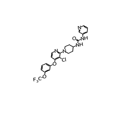 O=C(Nc1cccnc1)NC1CCN(c2nccc(Oc3cccc(OC(F)(F)F)c3)c2Cl)CC1